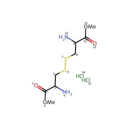 COC(=O)C(N)CSSCC(N)C(=O)OC.Cl.Cl